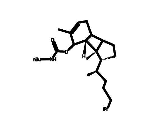 CCCCNC(=O)OC1C(C)=CCC2C3CC[C@H]([C@H](C)CCCC(C)C)[C@@]3(C)[C@H]12